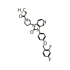 C=CC(=O)N1CCC(n2c(=O)n(-c3ccc(OCc4ccc(F)cc4F)cc3)c3cnccc32)C1